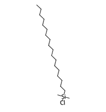 CCCCCCCCCCCCCCCCCC[Si](C)(C)Cl